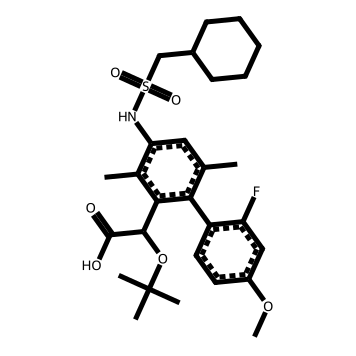 COc1ccc(-c2c(C)cc(NS(=O)(=O)CC3CCCCC3)c(C)c2C(OC(C)(C)C)C(=O)O)c(F)c1